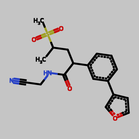 CC(CC(C(=O)NCC#N)c1cccc(-c2ccoc2)c1)S(C)(=O)=O